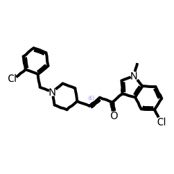 Cn1cc(C(=O)/C=C/C2CCN(Cc3ccccc3Cl)CC2)c2cc(Cl)ccc21